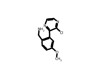 COc1ccc(CN)c(-c2nccnc2Cl)c1